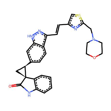 O=C1Nc2ccccc2[C@]12C[C@H]2c1ccc2c(/C=C/c3csc(CN4CCOCC4)n3)n[nH]c2c1